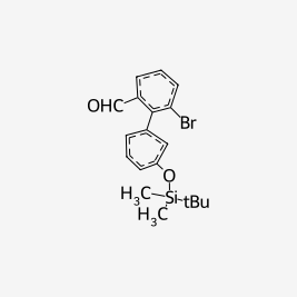 CC(C)(C)[Si](C)(C)Oc1cccc(-c2c(Br)cccc2C=O)c1